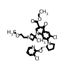 CCOC(=O)c1cn(C2(C)CN(CCOC)C2)c2cc(N3CCC[C@@H]3COc3ncccc3Cl)c(Cl)cc2c1=O